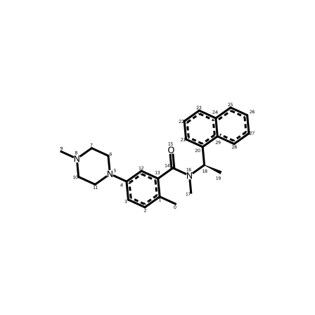 Cc1ccc(N2CCN(C)CC2)cc1C(=O)N(C)[C@H](C)c1cccc2ccccc12